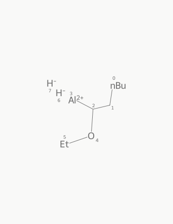 CCCCC[CH]([Al+2])OCC.[H-].[H-]